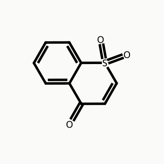 O=C1C=CS(=O)(=O)c2ccccc21